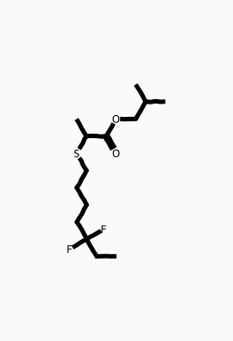 CCC(F)(F)CCCCSC(C)C(=O)OCC(C)C